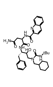 CC(C)(C)NC(=O)N(CC1CCCCC1)CC(O)[C@H](Cc1ccccc1)NC(=O)C(CC(N)=O)NC(=O)c1ccc2ccccc2n1